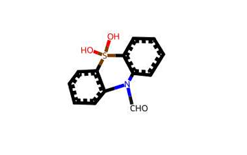 O=CN1c2ccccc2S(O)(O)c2ccccc21